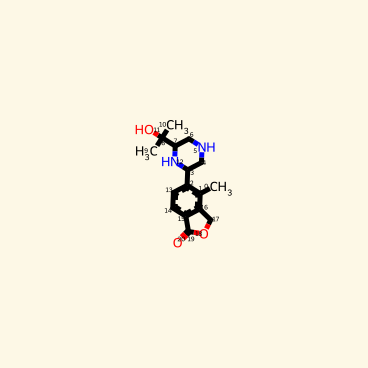 Cc1c(C2CNCC(C(C)(C)O)N2)ccc2c1COC2=O